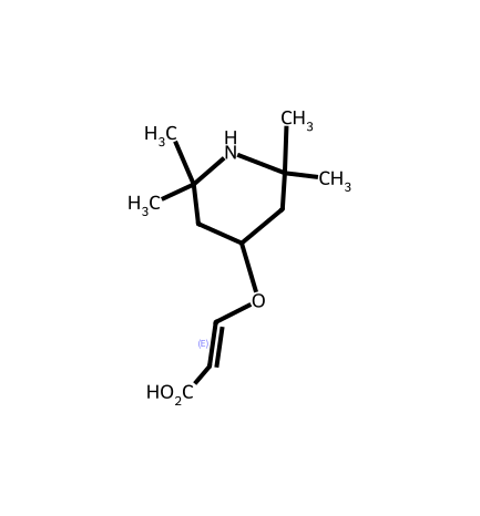 CC1(C)CC(O/C=C/C(=O)O)CC(C)(C)N1